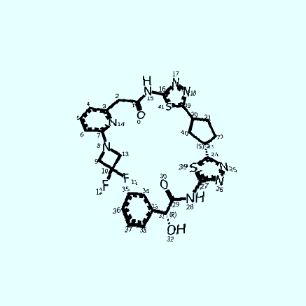 O=C(Cc1cccc(N2CC(F)(F)C2)n1)Nc1nnc(C2CC[C@H](c3nnc(NC(=O)[C@H](O)c4ccccc4)s3)C2)s1